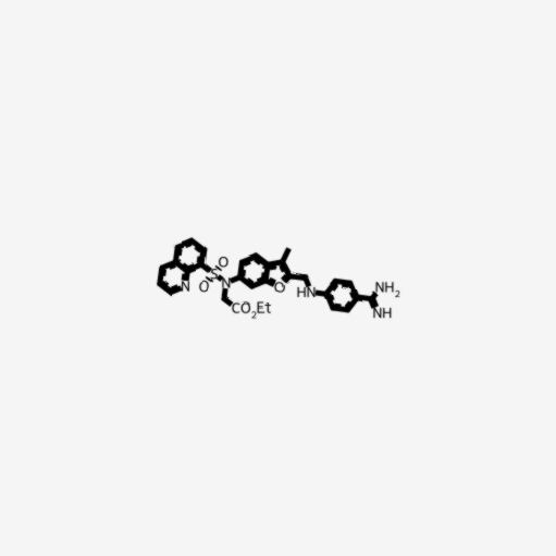 CCOC(=O)CN(c1ccc2c(C)c(CNc3ccc(C(=N)N)cc3)oc2c1)S(=O)(=O)c1cccc2cccnc12